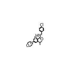 CC(C)c1cc(N2CCOCC2)cnc1C(=O)NCc1ccc(Cl)cc1